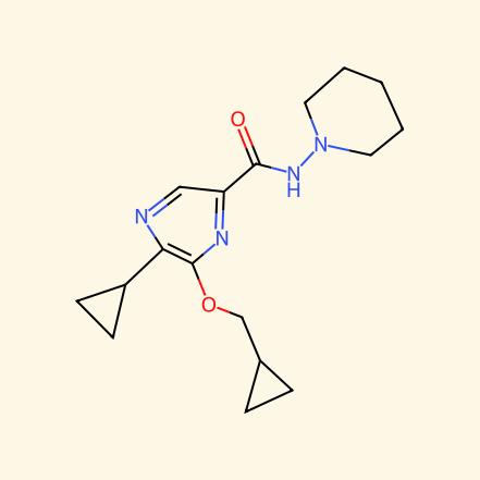 O=C(NN1CCCCC1)c1cnc(C2CC2)c(OCC2CC2)n1